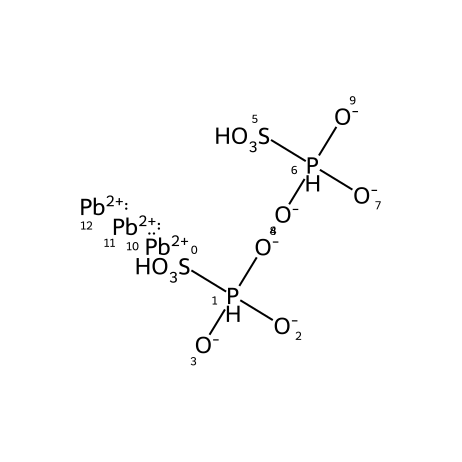 O=S(=O)(O)[PH]([O-])([O-])[O-].O=S(=O)(O)[PH]([O-])([O-])[O-].[Pb+2].[Pb+2].[Pb+2]